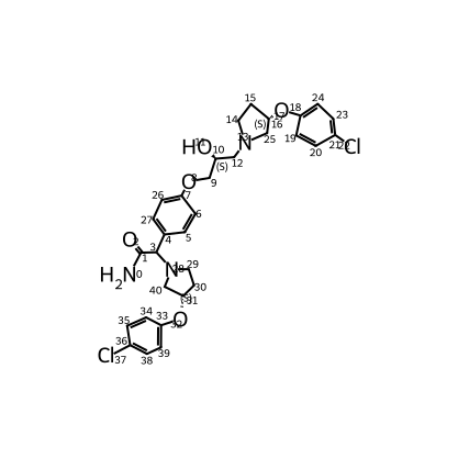 NC(=O)C(c1ccc(OC[C@@H](O)CN2CC[C@H](Oc3ccc(Cl)cc3)C2)cc1)N1CC[C@H](Oc2ccc(Cl)cc2)C1